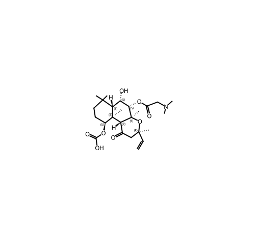 C=C[C@@]1(C)CC(=O)[C@H]2[C@](C)(O1)[C@@H](OC(=O)CN(C)C)[C@@H](O)[C@H]1C(C)(C)CC[C@H](OC(=O)O)[C@@]12C